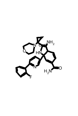 NC(=O)C1=CC(NC(=O)C2(N3CCOCC3)CC2)(c2ccc(-c3ccccc3F)nc2)C(C(N)=O)C=C1